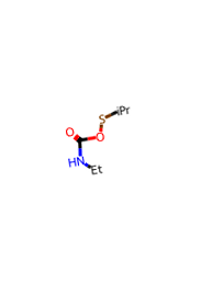 CCNC(=O)OSC(C)C